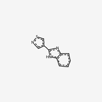 c1ccc2[nH]c(-c3cnsc3)nc2c1